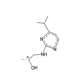 CC(C)c1ccnc(NC[C@@H](C)O)n1